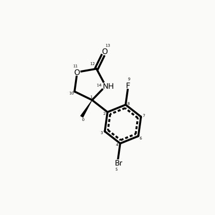 C[C@@]1(c2cc(Br)ccc2F)COC(=O)N1